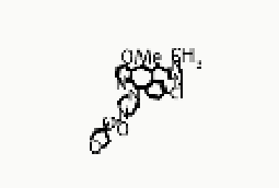 COC(C1=Cc2cccnc2[C@@H](N2CCN(C(=O)OC3CCOCC3)CC2)c2ccc(Cl)cc21)c1cncn1C